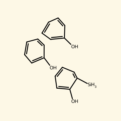 Oc1ccccc1.Oc1ccccc1.Oc1ccccc1[SiH3]